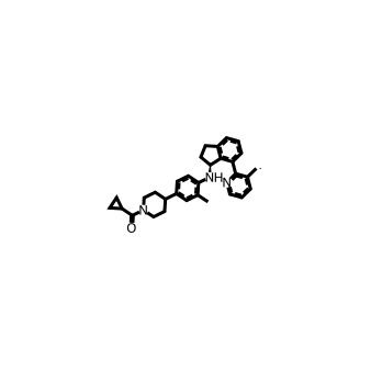 [CH2]c1cccnc1-c1cccc2c1[C@@H](Nc1ccc(C3CCN(C(=O)C4CC4)CC3)cc1C)CC2